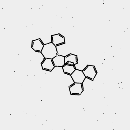 c1ccc(N2c3ccccc3-c3ccccc3-c3cccc(-c4ccc5c6ccccc6c6ccccc6c5c4)c32)cc1